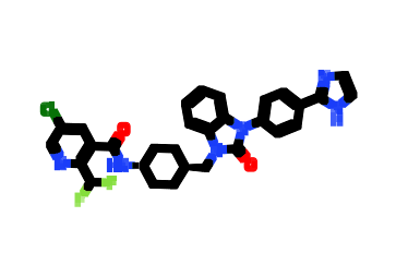 O=C(N[C@H]1CC[C@H](Cn2c(=O)n(-c3ccc(-c4ncc[nH]4)cc3)c3ccccc32)CC1)c1cc(Cl)cnc1C(F)F